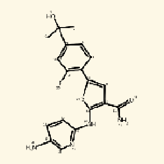 CC(C)(O)c1ccc(-c2cc(C(N)=O)c(Nc3ccc(N)cn3)s2)c(F)c1